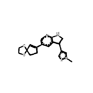 Cn1cc(C2CNc3ncc(C4=CC5(CC4)OCCO5)cc32)cn1